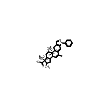 CC1CC2C3C=C(F)C4=Cc5c(cnn5-c5ccccc5)C[C@]4(C)[C@@]3(F)[C@@H](O)C[C@]2(C)[C@@]1(O)C(=O)O